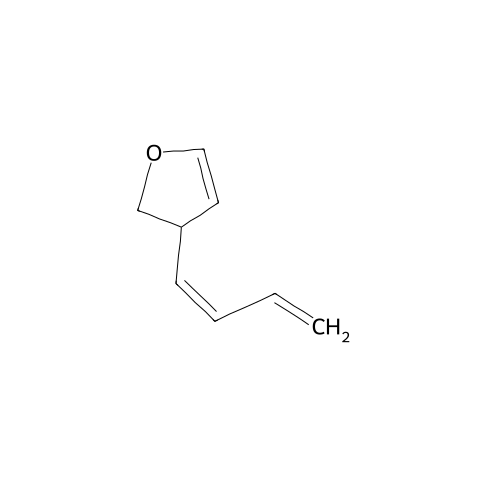 C=C/C=C\C1C=COC1